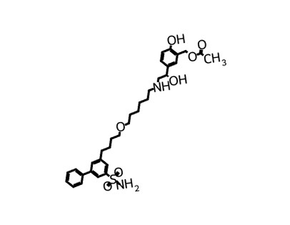 CC(=O)OCc1cc([C@@H](O)CNCCCCCCOCCCCc2cc(-c3ccccc3)cc(S(N)(=O)=O)c2)ccc1O